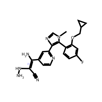 Cn1cnc(-c2cc(/C(N)=C(\C#N)NN)ccn2)c1-c1ccc(F)cc1OCC1CC1